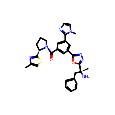 Cc1csc([C@H]2CCCN2C(=O)c2cc(-c3nnc([C@](C)(N)Cc4ccccc4)o3)cc(-c3nccn3C)c2)n1